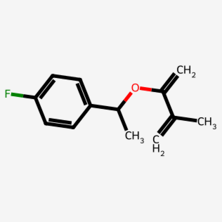 C=C(C)C(=C)OC(C)c1ccc(F)cc1